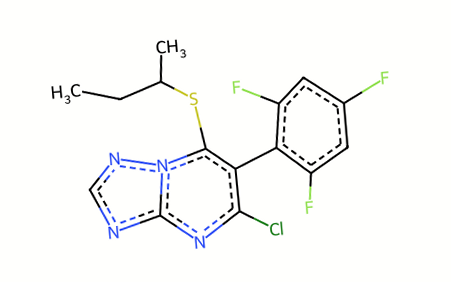 CCC(C)Sc1c(-c2c(F)cc(F)cc2F)c(Cl)nc2ncnn12